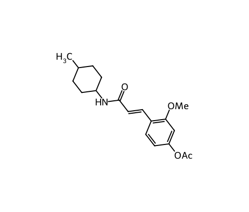 COc1cc(OC(C)=O)ccc1C=CC(=O)NC1CCC(C)CC1